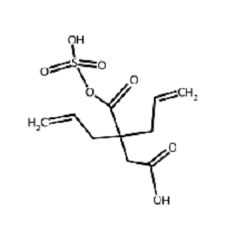 C=CCC(CC=C)(CC(=O)O)C(=O)OS(=O)(=O)O